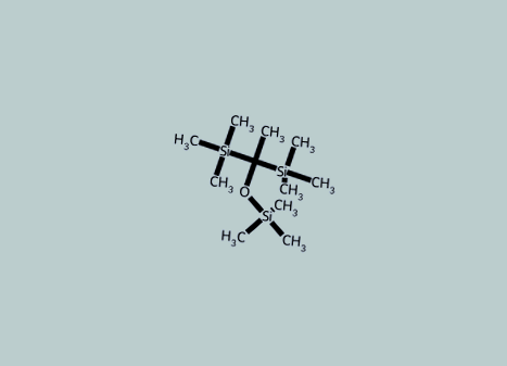 CC(O[Si](C)(C)C)([Si](C)(C)C)[Si](C)(C)C